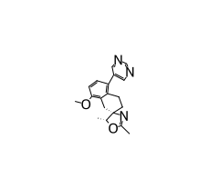 COc1ccc(-c2cncnc2)c2c1C[C@]1(CC2)N=C(C)O[C@@H]1C